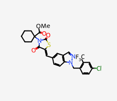 COC(=O)C1(N2C(=O)SC(=Cc3ccc4c(cnn4Cc4ccc(Cl)cc4C(F)(F)F)c3)C2=O)CCCCC1